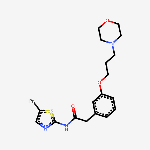 CC(C)c1cnc(NC(=O)Cc2cccc(OCCCN3CCOCC3)c2)s1